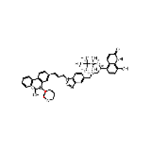 CC(C)(C)[Si](C)(C)O[C@@H](CNCc1ccc2c(c1)nnn2CC=Cc1ccc(-c2ccccc2)c(N(C(=O)O)C2CN3CCC2CC3)c1)c1ccc(O)c2[nH]c(=O)ccc12